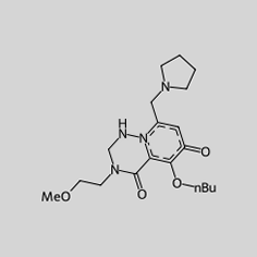 CCCCOc1c2n(c(CN3CCCC3)cc1=O)NCN(CCOC)C2=O